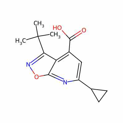 CC(C)(C)c1noc2nc(C3CC3)cc(C(=O)O)c12